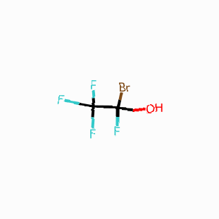 OC(F)(Br)C(F)(F)F